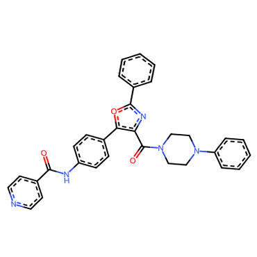 O=C(Nc1ccc(-c2oc(-c3ccccc3)nc2C(=O)N2CCN(c3ccccc3)CC2)cc1)c1ccncc1